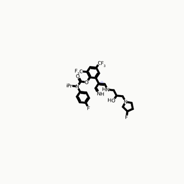 CC(C)N(C(=O)Oc1c(/C(C=N)=C/NCC(O)CN2CCC(F)C2)cc(C(F)(F)F)cc1C(F)(F)F)c1ccc(F)cc1